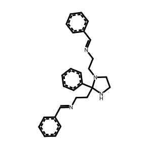 C(=N\CCN1CCNC1(CC/N=C/c1ccccc1)c1ccccc1)/c1ccccc1